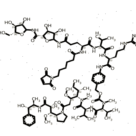 CC[C@H](C)[C@@H]([C@@H](CC(=O)N1CCC[C@H]1[C@H](OC)[C@@H](C)C(=O)N[C@H](C)[C@@H](O)c1ccccc1)OC)N(C)C(=O)[C@@H](NC(=O)[C@H](C(C)C)N(C)C(=O)OCc1ccc(NC(=O)[C@H](CCCNC(N)=O)NC(=O)[C@@H](NC(=O)[C@H](CCC(=O)NC2O[C@H](C(=O)NC3O[C@H](CO)[C@@H](O)[C@H]3O)[C@@H](O)[C@H]2O)NC(=O)CCCCCN2C(=O)C=CC2=O)C(C)C)cc1)C(C)C